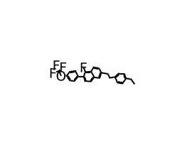 CCc1ccc(CCc2ccc3c(F)c(-c4ccc(OC(F)(F)F)cc4)ccc3c2)cc1